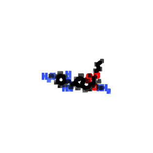 CCCCOC(=O)[C@@](C)(ON)[C@H]1CCc2cc(C(=N)N[C@]3(C)CC[C@@H](N)CC3)ccc2O1